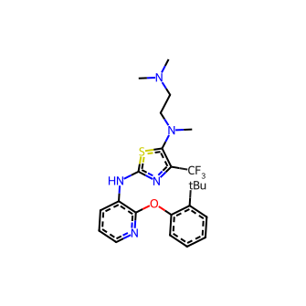 CN(C)CCN(C)c1sc(Nc2cccnc2Oc2ccccc2C(C)(C)C)nc1C(F)(F)F